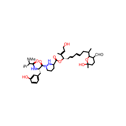 CNC(C(=O)N[C@@H](Cc1cccc(O)c1)C(=O)N1CCCC(C(=O)O[C@@H](C/C=C/C=C/CC(C)C2OC(C)(O)CCC2C=O)/C(C)=C/CO)N1)C(C)C